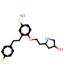 Cl.OC1CNC(CCOc2ccc(F)cc2CCc2ccc(F)cc2)C1